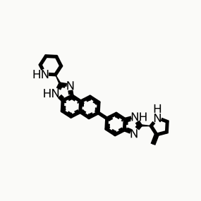 C=C1CCN[C@@H]1c1nc2ccc(-c3ccc4c(ccc5[nH]c([C@@H]6CCCCN6)nc54)c3)cc2[nH]1